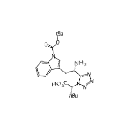 CCCCC(C(=O)O)n1nnnc1[C@@H](N)Cc1cn(C(=O)OC(C)(C)C)c2ccccc12